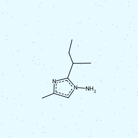 CCC(C)c1nc(C)cn1N